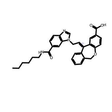 CCCCCCNC(=O)c1ccc2ncn(C/C=C3\c4ccccc4COc4ccc(C(=O)O)cc43)c2c1